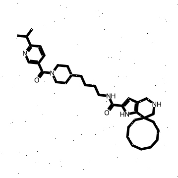 CC(C)c1ccc(C(=O)N2CCC(CCCCNC(=O)c3cc4c([nH]3)C3(CCCCCCCCC3)CNC4)CC2)cn1